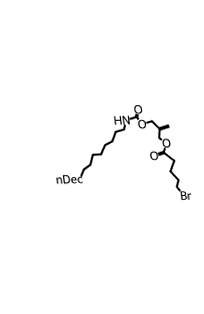 C=C(COC(=O)CCCCBr)COC(=O)NCCCCCCCCCCCCCCCCCC